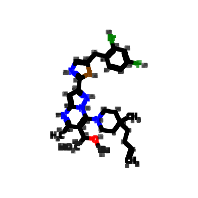 C=CCCC1(C)CCN(c2c(C(OC(C)(C)C)C(=O)OCC)c(C)nc3cc(-c4ncc(Cc5ccc(F)cc5Br)s4)nn23)CC1